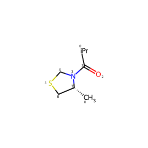 CC(C)C(=O)N1CSC[C@H]1C